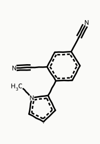 Cn1c[c]cc1-c1ccc(C#N)cc1C#N